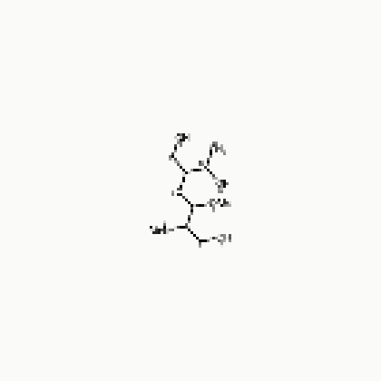 CNC(CO)C(OC)OC(CO)C(C)O